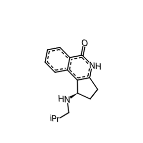 CC(C)CN[C@@H]1CCc2[nH]c(=O)c3ccccc3c21